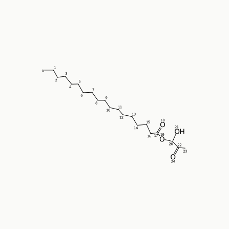 CCCCCCCCCCCCCCCCCC(=O)OC(O)C(C)=O